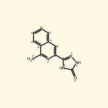 Nc1nc(-c2n[nH]c(=O)[nH]2)cc2ccccc12